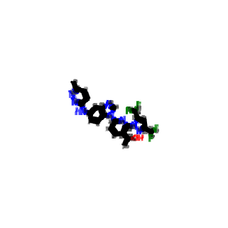 Cc1ccc(Nc2ccc3c(c2)ncn3-c2ccc(C(C)O)c(-n3nc(C(F)F)cc3C(F)F)n2)nn1